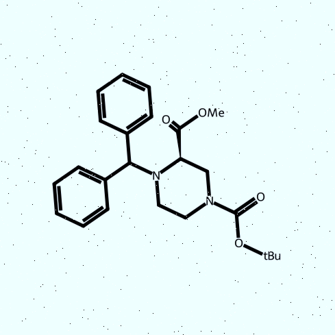 COC(=O)[C@H]1CN(C(=O)OC(C)(C)C)CCN1C(c1ccccc1)c1ccccc1